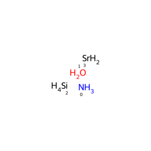 N.O.[SiH4].[SrH2]